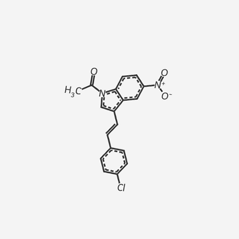 CC(=O)n1cc(C=Cc2ccc(Cl)cc2)c2cc([N+](=O)[O-])ccc21